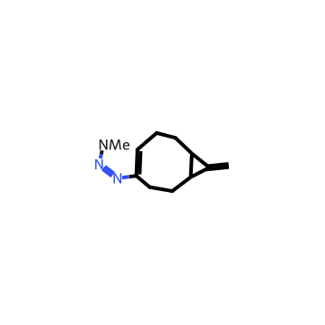 C=C1C2CC/C=C(/N=N\NC)CCC12